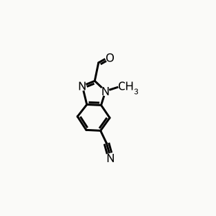 Cn1c(C=O)nc2ccc(C#N)cc21